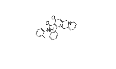 Cc1ccccc1NC(=O)c1c(-c2ccccc2)n(Cc2ccccn2)c(C)cc1=O